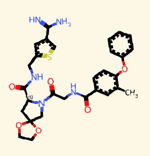 Cc1cc(C(=O)NCC(=O)N2CC3(C[C@H]2C(=O)NCc2cc(C(=N)N)cs2)OCCO3)ccc1Oc1ccccc1